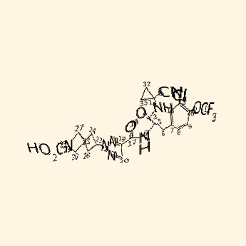 N#CC1(NC(=O)C(Cc2ccc(OC(F)(F)F)c(Cl)c2)NC(=O)c2cnn(C3CC4(C3)CN(C(=O)O)C4)n2)CC1